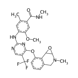 CNC(=O)c1cc(OC)c(Nc2ncc(C(F)(F)F)c(Oc3cccc4c3C3OC3N(C)C4)n2)cc1C